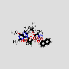 COc1nc(C)nc2c1ncn2[C@@H]1O[C@H](COP(=O)(N[C@@H](C)C(=O)OCC(C)(C)C)Oc2cccc3ccccc23)[C@H](F)[C@@]1(C)O